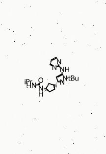 CC(C)NC(=O)N[C@H]1CC[C@@H](c2cc(Nc3ncccn3)n(C(C)(C)C)n2)C1